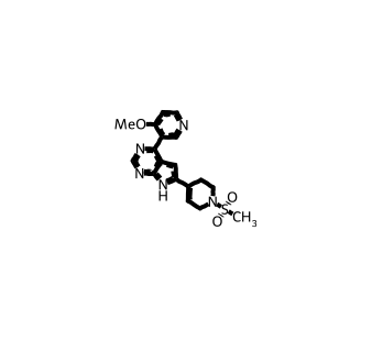 COc1ccncc1-c1ncnc2[nH]c(C3=CCN(S(C)(=O)=O)CC3)cc12